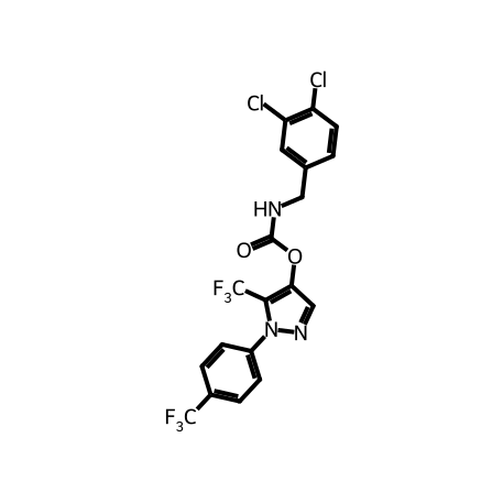 O=C(NCc1ccc(Cl)c(Cl)c1)Oc1cnn(-c2ccc(C(F)(F)F)cc2)c1C(F)(F)F